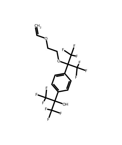 C=COCCOC(c1ccc(C(O)(C(F)(F)F)C(F)(F)F)cc1)(C(F)(F)F)C(F)(F)F